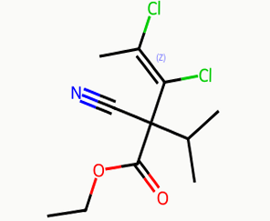 CCOC(=O)C(C#N)(/C(Cl)=C(\C)Cl)C(C)C